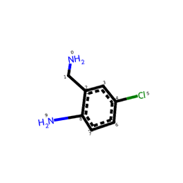 NCc1cc(Cl)c[c]c1N